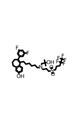 CC(C)(O)CN(CCCCCCC1=C(c2cc(F)cc(F)c2)CCCc2cc(O)ccc21)CCCS(=O)(=O)CCCC(F)(F)C(F)(F)F